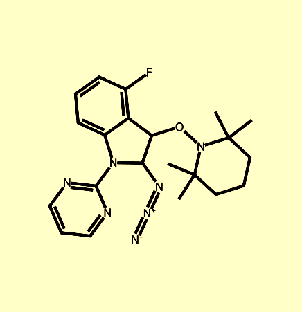 CC1(C)CCCC(C)(C)N1OC1c2c(F)cccc2N(c2ncccn2)C1N=[N+]=[N-]